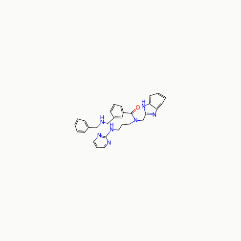 O=C(c1cccc(CNCc2ccccc2)c1)N(CCCNc1ncccn1)Cc1nc2ccccc2[nH]1